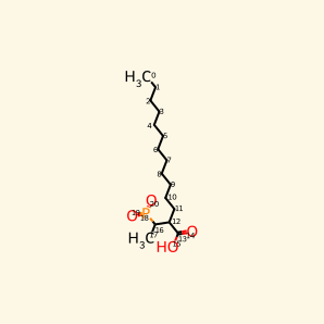 CCCCCCCCCCCCC(C(=O)O)C(C)P(=O)=O